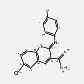 Cc1ccc(/N=c2\oc3ccc(Cl)cc3cc2C(N)=S)cc1